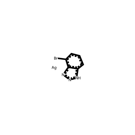 Brc1cccc2[nH]nnc12.[Ag]